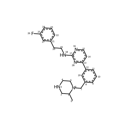 CC1CNCCN1Cc1cccc(-c2ccnc(NCCc3cccc(F)c3)n2)c1